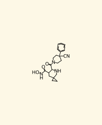 N#CC1(c2ccccc2)CCN(C(=O)C2NCC3(CC3)CC2C(=O)NO)CC1